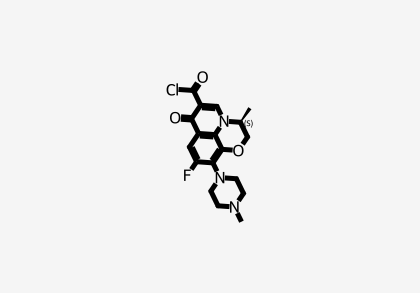 C[C@H]1COc2c(N3CCN(C)CC3)c(F)cc3c(=O)c(C(=O)Cl)cn1c23